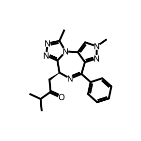 Cc1nnc2n1-c1cn(C)nc1C(c1ccccc1)=N[C@H]2CC(=O)C(C)C